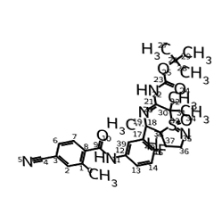 Cc1cc(C#N)ccc1C(=O)Nc1ccc(F)c([C@@]2(C)N=C(NC(=O)OC(C)(C)C)C(C)(C)S3(=O)=NCC[C@@H]23)c1